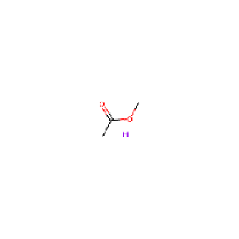 COC(C)=O.I